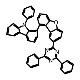 c1ccc(-c2nc(-c3ccccc3)nc(-c3ccc4oc5cccc(-c6cccc7c8ccccc8n(-c8ccccc8)c67)c5c4c3)n2)cc1